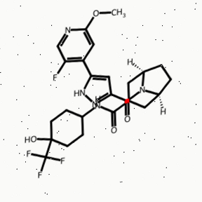 COc1cc(-c2cc(C(=O)N3[C@@H]4CC[C@H]3CC(C(=O)NC3CCC(O)(C(F)(F)F)CC3)C4)n[nH]2)c(F)cn1